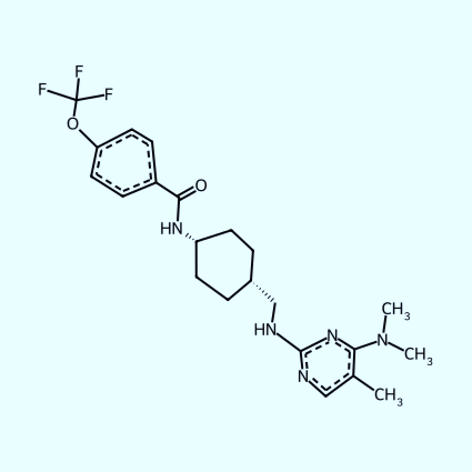 Cc1cnc(NC[C@H]2CC[C@@H](NC(=O)c3ccc(OC(F)(F)F)cc3)CC2)nc1N(C)C